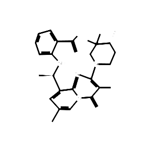 Cc1cc([C@@H](C)Nc2ccccc2C(=O)O)c2nc(N3CC[C@@H](C)C(F)(F)C3)c(C)c(=O)n2c1